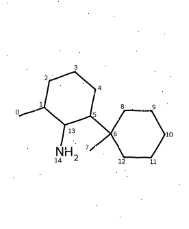 CC1CCCC(C2(C)CCCCC2)C1N